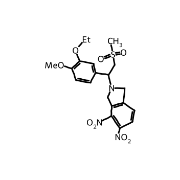 CCOc1cc(C(CS(C)(=O)=O)N2Cc3ccc([N+](=O)[O-])c([N+](=O)[O-])c3C2)ccc1OC